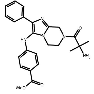 COC(=O)c1ccc(Nc2c(-c3ccccc3)nc3n2CCN(C(=O)C(C)(C)N)C3)cc1